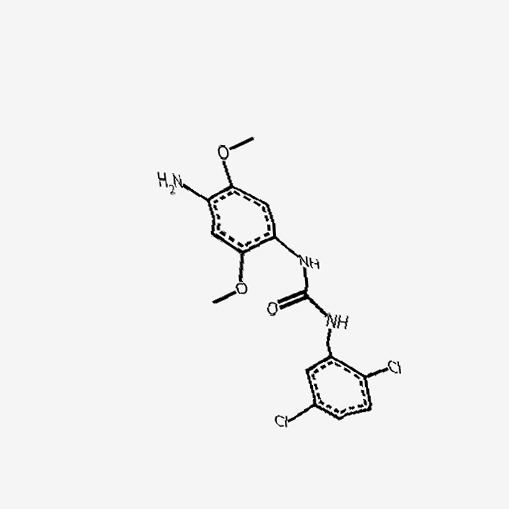 COc1cc(NC(=O)Nc2cc(Cl)ccc2Cl)c(OC)cc1N